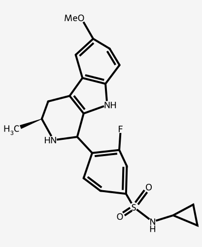 COc1ccc2[nH]c3c(c2c1)C[C@H](C)NC3c1ccc(S(=O)(=O)NC2CC2)cc1F